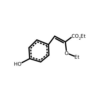 CCOC(=O)C(=Cc1ccc(O)cc1)OCC